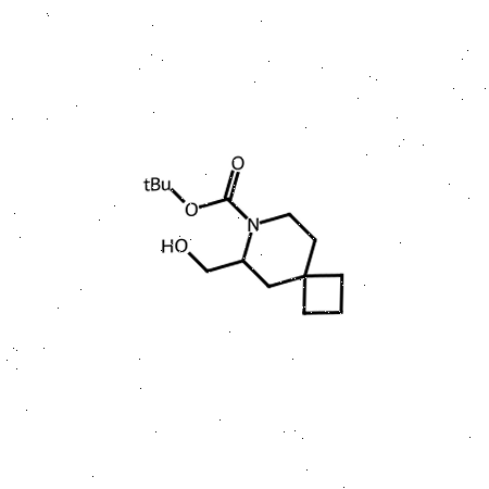 CC(C)(C)OC(=O)N1CCC2(CCC2)CC1CO